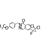 COc1ccc(Cn2ncc3cc(C4(F)CC4(Cl)Cl)ccc3c2=O)cc1